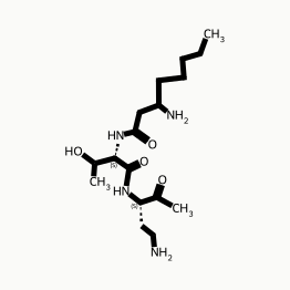 CCCCCC(N)CC(=O)N[C@H](C(=O)N[C@@H](CCN)C(C)=O)C(C)O